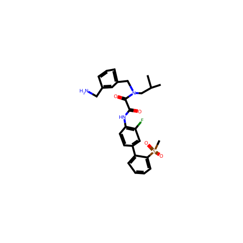 CC(C)CN(Cc1cccc(CN)c1)C(=O)C(=O)Nc1ccc(-c2ccccc2S(C)(=O)=O)cc1F